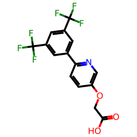 O=C(O)COc1ccc(-c2cc(C(F)(F)F)cc(C(F)(F)F)c2)nc1